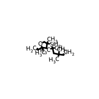 C=CC(C)(C)CC(C)(C)[SiH2]C1(C)COC(C)(C=C)C1